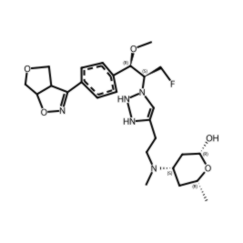 CO[C@H](c1ccc(C2=NOC3COCC23)cc1)[C@@H](CF)N1C=C(CCN(C)[C@H]2C[C@@H](C)O[C@@H](O)C2)NN1